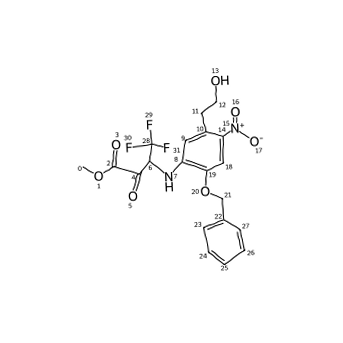 COC(=O)C(=O)C(Nc1cc(CCO)c([N+](=O)[O-])cc1OCc1ccccc1)C(F)(F)F